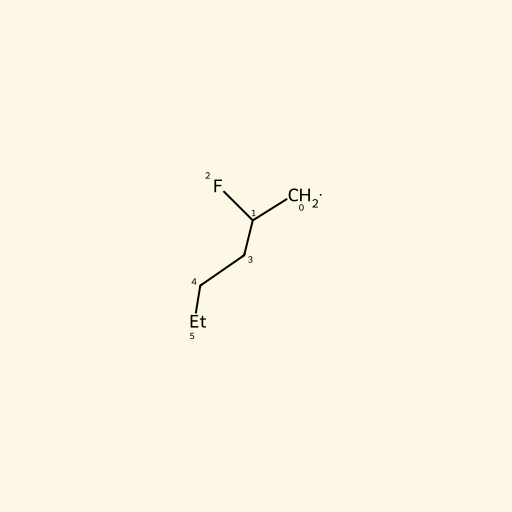 [CH2]C(F)CCCC